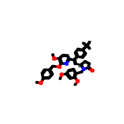 COc1ccc(COc2nc(C(=C[C@H]3CCC(=O)N3Cc3ccc(OC)cc3OC)c3ccc(C(C)(C)C)cc3)ccc2OC)cc1